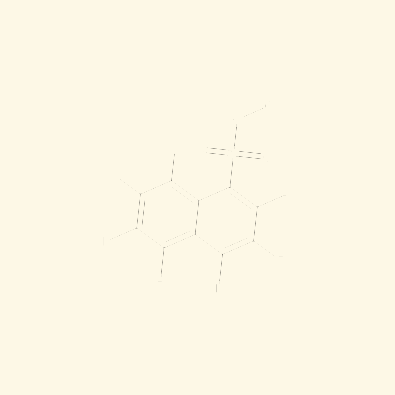 [CH2]OS(=O)(=O)c1c(F)c(F)c(F)c2c(F)c(F)c(F)c(F)c12